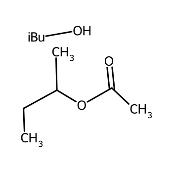 CCC(C)O.CCC(C)OC(C)=O